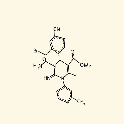 COC(=O)C1=C(C)N(c2cccc(C(F)(F)F)c2)C(=N)N(C(N)=O)[C@@H]1c1ccc(C#N)cc1CBr